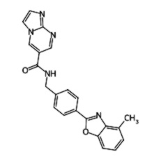 Cc1cccc2oc(-c3ccc(CNC(=O)c4cnc5nccn5c4)cc3)nc12